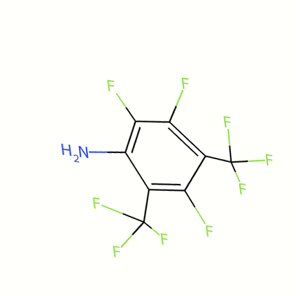 Nc1c(F)c(F)c(C(F)(F)F)c(F)c1C(F)(F)F